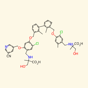 Cc1cc(OCc2cccc(-c3cccc(COc4cc(OCc5cncc(C#N)c5)c(CNC(C)(CO)C(=O)O)cc4Cl)c3C)c2C)c(Cl)cc1CNC(C)(CO)C(=O)O